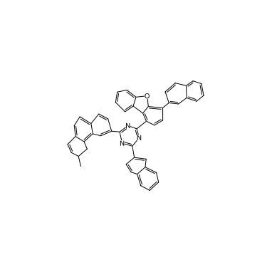 CC1C=Cc2ccc3ccc(-c4nc(-c5ccc6ccccc6c5)nc(-c5ccc(-c6ccc7ccccc7c6)c6oc7ccccc7c56)n4)cc3c2C1